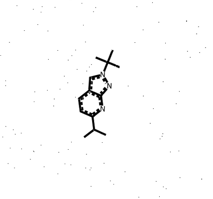 CC(C)c1ccc2cn(C(C)(C)C)nc2n1